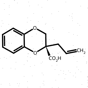 C=CC[C@@]1(C(=O)O)COc2ccccc2O1